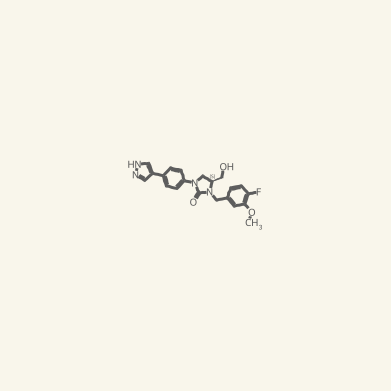 COc1cc(CN2C(=O)N(c3ccc(-c4cn[nH]c4)cc3)C[C@H]2CO)ccc1F